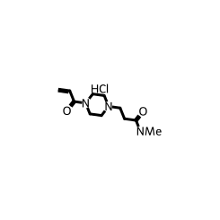 C=CC(=O)N1CCN(CCC(=O)NC)CC1.Cl